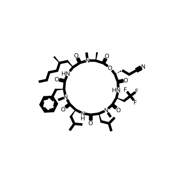 CCCC[C@@H](C)C[C@@H]1NC(=O)[C@H](Cc2ccccc2)N(C)C(=O)[C@H](CC(C)C)NC(=O)[C@H](CC(C)C)N(C)C(=O)[C@H](CC(F)(F)F)NC(=O)[C@@H](CCC#N)OC(=O)[C@H](C)N(C)C1=O